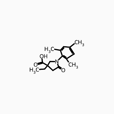 CCC1(C(=O)O)CC(=O)N(c2c(C)cc(C)cc2C)C1